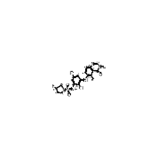 Cc1c(Nc2cc(F)cc(NS(=O)(=O)N3CC[C@@H](F)C3)c2Cl)ccc2ncn(C)c(=O)c12